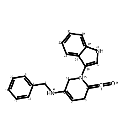 O=C=C1CC=C(NCc2ccccc2)CN1c1c[nH]c2ccccc12